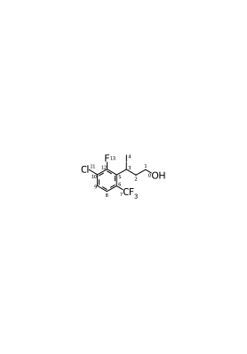 OCCC(I)c1c(C(F)(F)F)ccc(Cl)c1F